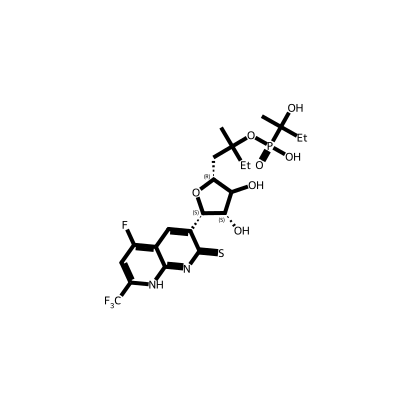 CCC(C)(C[C@H]1O[C@@H](c2cc3c(F)cc(C(F)(F)F)[nH]c-3nc2=S)[C@@H](O)C1O)OP(=O)(O)C(C)(O)CC